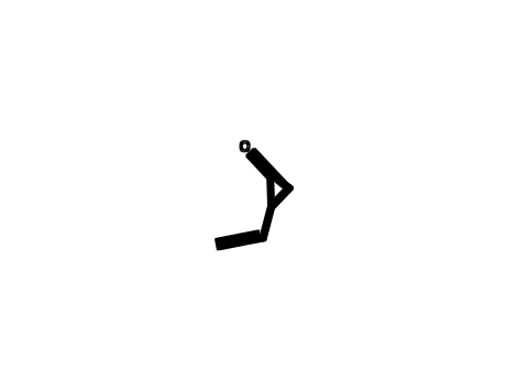 C=CC1CC1=O